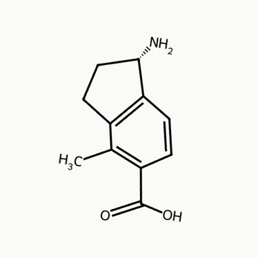 Cc1c(C(=O)O)ccc2c1CC[C@@H]2N